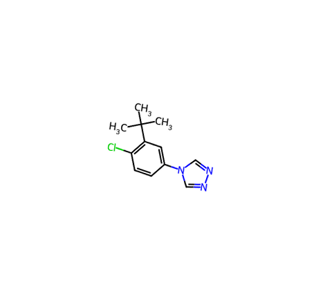 CC(C)(C)c1cc(-n2cnnc2)ccc1Cl